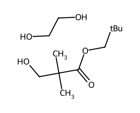 CC(C)(C)COC(=O)C(C)(C)CO.OCCO